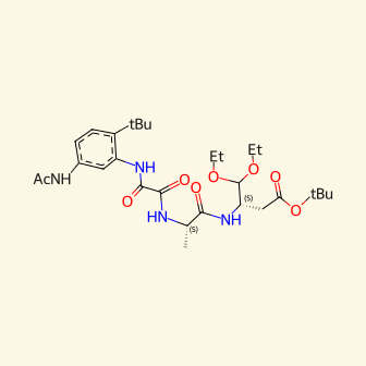 CCOC(OCC)[C@H](CC(=O)OC(C)(C)C)NC(=O)[C@H](C)NC(=O)C(=O)Nc1cc(NC(C)=O)ccc1C(C)(C)C